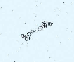 CC(C)c1noc(N2CCC(CCCOc3ccc(C(=O)N4CCCC4)c(F)c3)CC2)n1